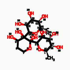 C[C@@H]1OC(C2(O)OCCC(O)C2(O)C2O[C@@H](C)[C@@H](O)[C@@H](O)[C@@H]2O)[C@@H](O)[C@H](O)[C@@H]1O